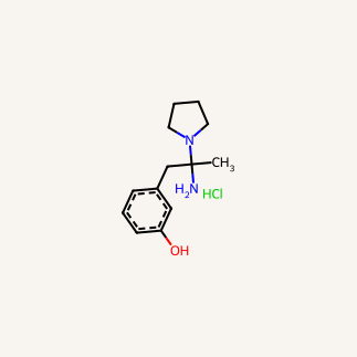 CC(N)(Cc1cccc(O)c1)N1CCCC1.Cl